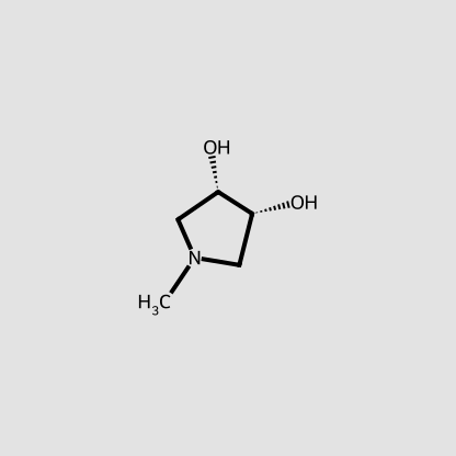 CN1C[C@@H](O)[C@@H](O)C1